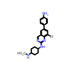 CCc1cc(-c2ccc(N)cc2)cc2cnc(NC3CCC(NC(=O)O)CC3)nc12